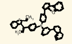 C=Cc1sc2ccccc2c1/C(=C\C)c1ccc(N(c2ccc(-c3cccc4c3oc3ccccc34)cc2)c2cccc(-c3cccc4ccccc34)c2)cc1